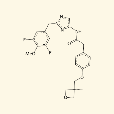 COc1c(F)cc(Cn2ncc(NC(=O)Cc3ccc(OCC4(C)COC4)cc3)n2)cc1F